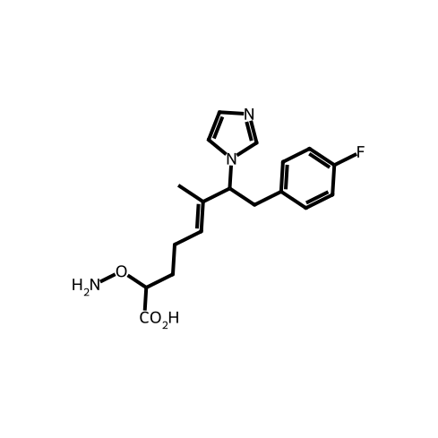 CC(=CCCC(ON)C(=O)O)C(Cc1ccc(F)cc1)n1ccnc1